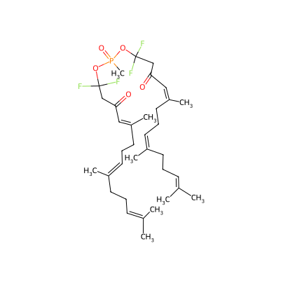 CC(C)=CCCC(C)=CCCC(C)=CC(=O)CC(F)(F)OP(C)(=O)OC(F)(F)CC(=O)C=C(C)CCC=C(C)CCC=C(C)C